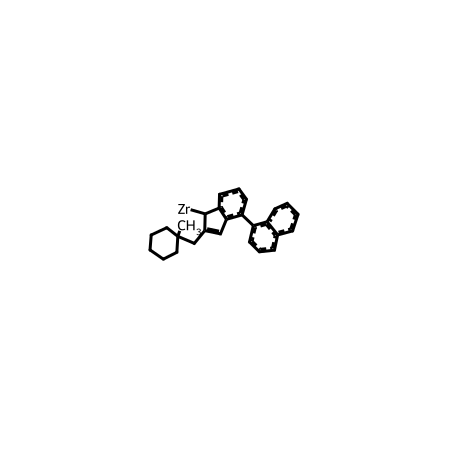 CC1(CC2=Cc3c(-c4cccc5ccccc45)cccc3[CH]2[Zr])CCCCC1